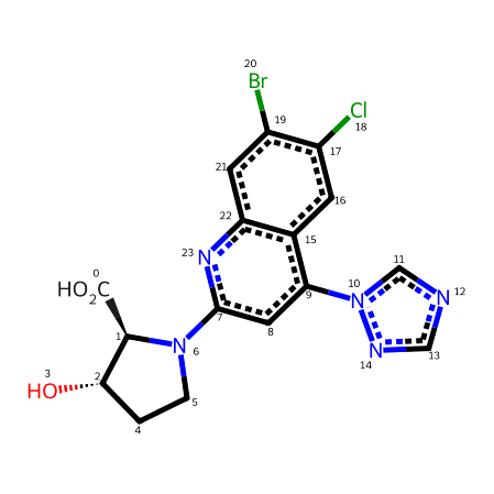 O=C(O)[C@@H]1[C@@H](O)CCN1c1cc(-n2cncn2)c2cc(Cl)c(Br)cc2n1